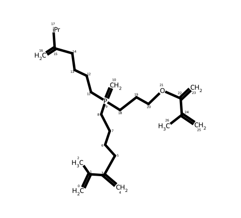 C=C(C)C(=C)CCCCP(=C)(CCCCC(=C)C(C)C)CCCOC(=C)C(=C)C